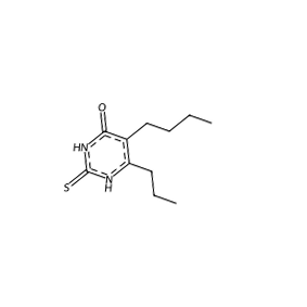 CCCCc1c(CCC)[nH]c(=S)[nH]c1=O